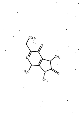 CC1N=C(CC(=O)O)C(=O)C2=C1N(C)C(=O)C2C